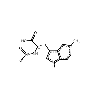 Cc1ccc2[nH]cc(C[C@H](N[N+](=O)[O-])C(=O)O)c2c1